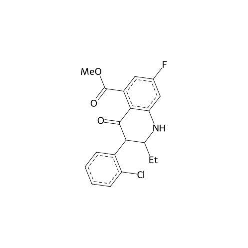 CCC1Nc2cc(F)cc(C(=O)OC)c2C(=O)C1c1ccccc1Cl